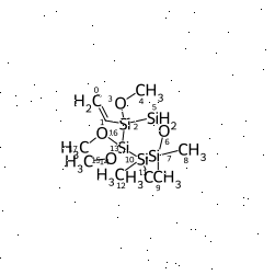 C=C[Si]1(OC)[SiH2]O[Si](C)(C)[Si](C)(C)[Si]1(OC)OC